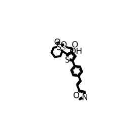 O=C(O)C[C@]1(c2ccc(-c3ccc(/C=C/c4cnco4)cc3)s2)CCCCS1(=O)=O